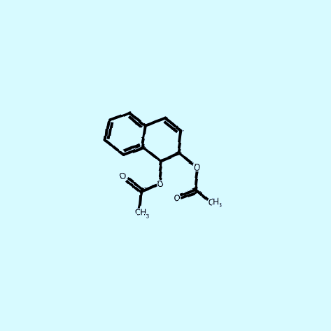 CC(=O)OC1[C]=Cc2ccccc2C1OC(C)=O